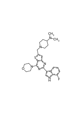 CN(C)C1CCN(Cc2cc3nc(-c4c[nH]c5c(F)cccc45)nc(N4CCOCC4)c3s2)CC1